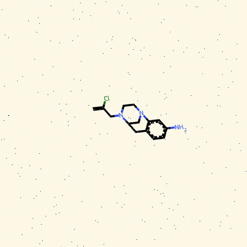 C=C(Cl)CN1CCN2CC1Cc1ccc(N)cc12